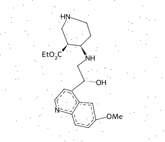 CCOC(=O)[C@H]1CNCC[C@H]1NC[C@H](O)c1ccnc2ccc(OC)cc12